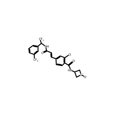 O=C(C=Cc1ccc(C(=O)NC2C[S+]([O-])C2)c(Cl)c1)NC(c1cccc(C(F)(F)F)c1)C(F)(F)F